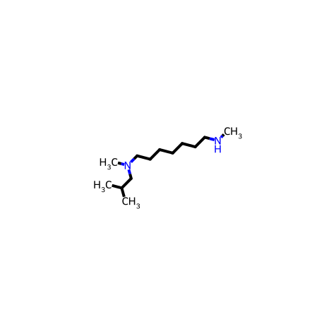 CNCCCCCCCN(C)CC(C)C